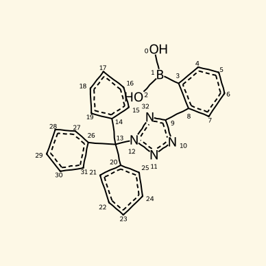 OB(O)c1ccccc1-c1nnn(C(c2ccccc2)(c2ccccc2)c2ccccc2)n1